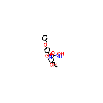 C=CCC1(O)CCN(S(=O)(=O)c2ccc(OCc3ccccc3)cc2)C(C(=O)NO)C1